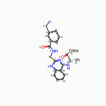 COC(=O)[C@@H](Nc1nc(CNC(=O)c2cccc(CI)c2)nc2ccccc12)C(C)C